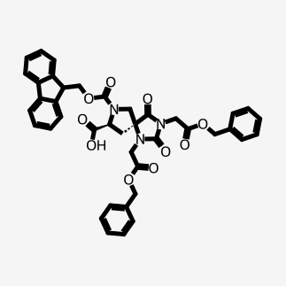 O=C(CN1C(=O)N(CC(=O)OCc2ccccc2)[C@]2(C[C@@H](C(=O)O)N(C(=O)OCC3c4ccccc4-c4ccccc43)C2)C1=O)OCc1ccccc1